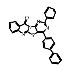 O=c1c2ccccc2nc2sc3c(-c4ccc(-c5ccccc5)cc4)nc(-c4ccccc4)nc3n12